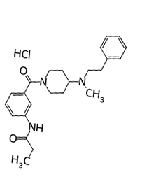 CCC(=O)Nc1cccc(C(=O)N2CCC(N(C)CCc3ccccc3)CC2)c1.Cl